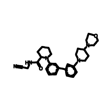 N#CCNC(=O)C1CCCCN1c1cccc(-c2cccc(N3CCC(N4CCOCC4)CC3)c2)c1